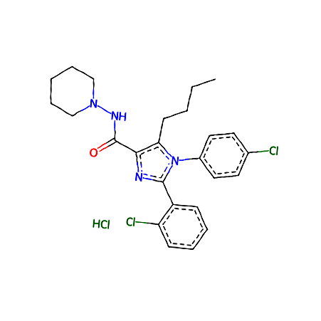 CCCCc1c(C(=O)NN2CCCCC2)nc(-c2ccccc2Cl)n1-c1ccc(Cl)cc1.Cl